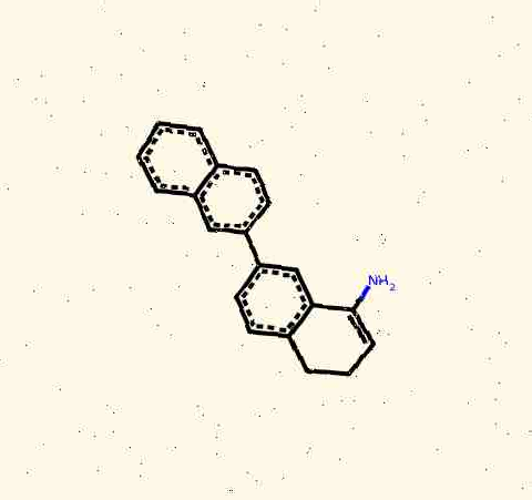 NC1=CCCc2ccc(-c3ccc4ccccc4c3)cc21